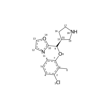 Cc1c(Cl)cccc1OC(c1ncco1)[C@H]1CCNC1